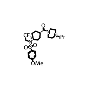 COc1ccc(S(=O)(=O)N(CC(F)(F)F)[C@H]2CC[C@H](C(=O)N3CCN(C(C)C)CC3)CC2)cc1